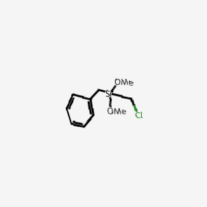 CO[Si](CCl)(Cc1ccccc1)OC